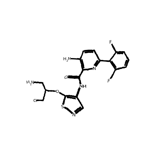 NCC(CCl)Oc1sncc1NC(=O)c1nc(-c2c(F)cccc2F)ccc1N